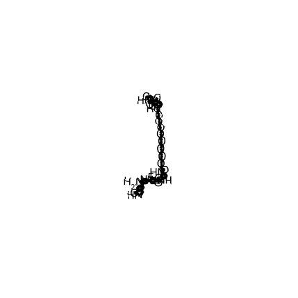 Nc1ncc(-c2ccc(S(=O)(=O)Nc3cccc(NC(=O)CCOCCOCCOCCOCCOCCOCCOCCOCCNc4cccc5c4C(=O)N(C4CCC(=O)NC4=O)C5=O)c3)cc2F)cc1-c1ccc2c(c1)CCNC2=O